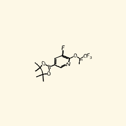 C[C@@H](Oc1ncc(B2OC(C)(C)C(C)(C)O2)cc1F)C(F)(F)F